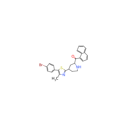 Cc1nc(C2CCNC(C(=O)c3cccc4ccccc34)C2)sc1-c1ccc(Br)cc1